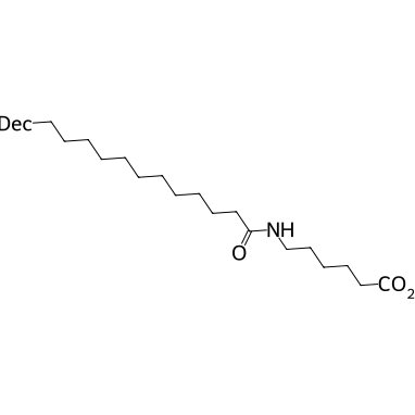 CCCCCCCCCCCCCCCCCCCCCC(=O)NCCCCCC(=O)O